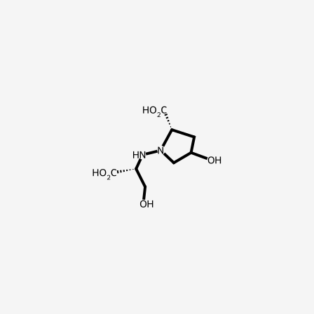 O=C(O)[C@@H](CO)NN1CC(O)C[C@H]1C(=O)O